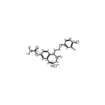 Cc1cc(OCCC2c3ccc(OC(=O)N(C)C)cc3C=CCN2C)ccc1Cl.Cl